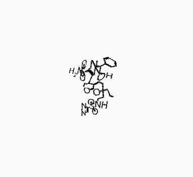 CCCC1(CCNS(=O)(=O)c2cn(C)cn2)CC(O)=C(C(CC)c2c(S(N)(=O)=O)nc(-c3ccccc3)n2C)C(=O)O1